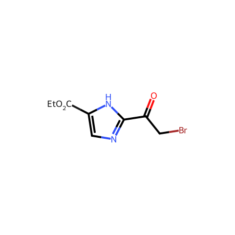 CCOC(=O)c1cnc(C(=O)CBr)[nH]1